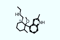 CCNC[C@@H]1CCCC(C)C1(OC)c1cccc2[nH]c(C)cc12